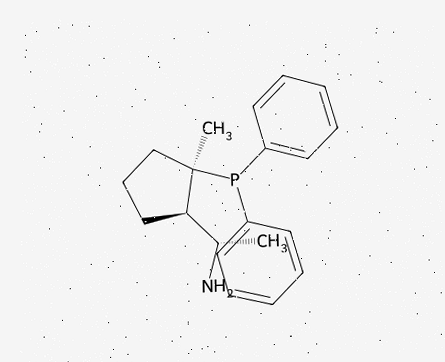 C[C@H](N)[C@H]1CCC[C@@]1(C)P(c1ccccc1)c1ccccc1